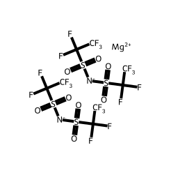 O=S(=O)([N-]S(=O)(=O)C(F)(F)C(F)(F)F)C(F)(F)C(F)(F)F.O=S(=O)([N-]S(=O)(=O)C(F)(F)C(F)(F)F)C(F)(F)C(F)(F)F.[Mg+2]